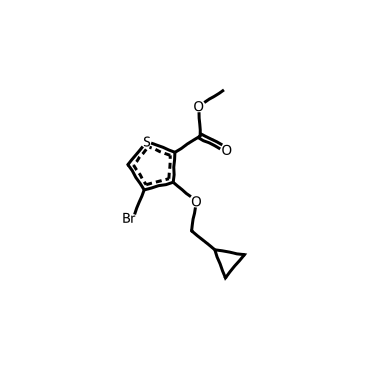 COC(=O)c1scc(Br)c1OCC1CC1